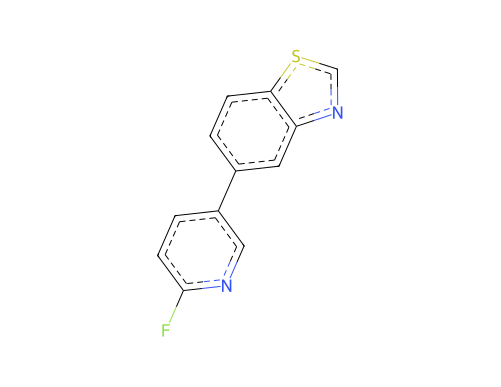 Fc1ccc(-c2ccc3scnc3c2)cn1